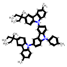 CCC(C)(CC)c1ccc2c(c1)c1cc(C)ccc1n2-c1ccc2c(c1)c1cc(-n3c4ccc(C)cc4c4cc(C(C)(CC)CC)ccc43)ccc1n2-c1ccc(C)cc1